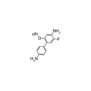 CCCOc1cc(N)c(F)cc1-c1ccc(N)cc1